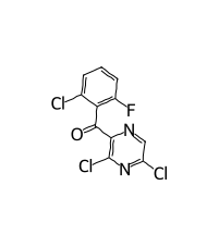 O=C(c1ncc(Cl)nc1Cl)c1c(F)cccc1Cl